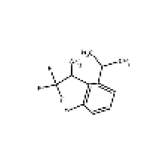 CC(C)c1cccc(F)c1C(N)C(F)(F)F